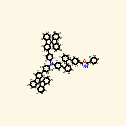 c1ccc(-c2nnc(-c3ccc(-c4ccccc4-c4ccccc4-c4ccc(N(c5ccc(-c6ccc7c(c6)C6(c8ccccc8-c8ccccc86)c6ccccc6-7)cc5)c5ccc(-c6ccc7c(c6)C6(c8ccccc8-c8ccccc86)c6ccccc6-7)cc5)cc4)cc3)o2)cc1